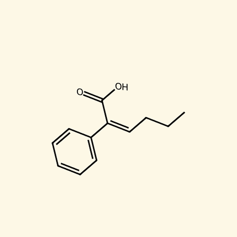 CCCC=C(C(=O)O)c1ccccc1